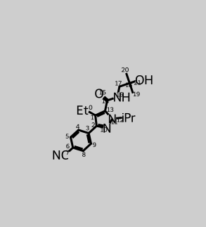 CCc1c(-c2ccc(C#N)cc2)nn(C(C)C)c1C(=O)NCC(C)(C)O